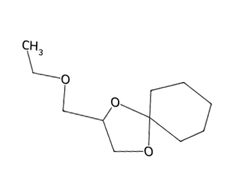 CCOCC1COC2(CCCCC2)O1